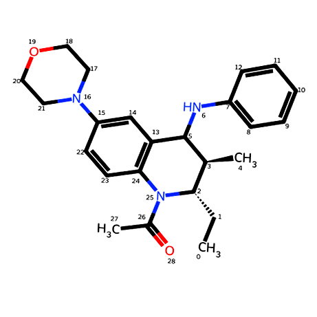 CC[C@H]1[C@H](C)C(Nc2ccccc2)c2cc(N3CCOCC3)ccc2N1C(C)=O